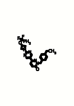 CCc1ccc(Cn2nc(-c3cnc(N4CC(OC(F)(F)P)C4)nc3)ccc2=O)cc1